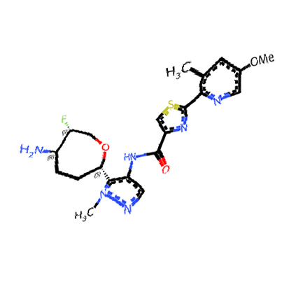 COc1cnc(-c2nc(C(=O)Nc3cnn(C)c3[C@@H]3CC[C@@H](N)[C@H](F)CO3)cs2)c(C)c1